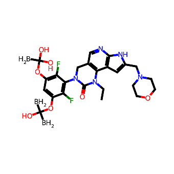 BC(B)(O)Oc1cc(OC(B)(O)O)c(F)c(N2Cc3cnc4[nH]c(CN5CCOCC5)cc4c3N(CC)C2=O)c1F